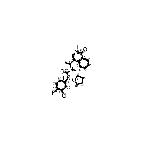 CC(c1c[nH]c(=O)c2ccccc12)N(C[C@@H]1CCCO1)C(=O)Nc1ccc(F)c(Cl)c1